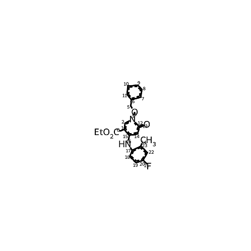 CCOC(=O)c1cn(OCc2ccccc2)c(=O)cc1Nc1ccc(F)cc1C